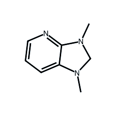 CN1CN(C)c2ncccc21